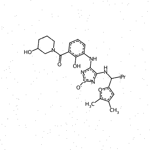 Cc1cc(C(Nc2n[s+]([O-])nc2Nc2cccc(C(=O)N3CCCC(O)C3)c2O)C(C)C)oc1C